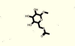 COC1OC(CSC(C)=O)C(O)C(O)C1O